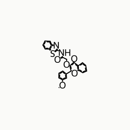 COc1cccc(-c2oc3ccccc3c(=O)c2OCC(=O)Nc2nc3ccccc3s2)c1